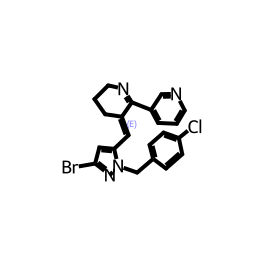 Clc1ccc(Cn2nc(Br)cc2/C=C2\CCCN=C2c2cccnc2)cc1